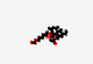 CCCC(C)CO.CCCCCCO.CCCCCCOC(C)=O.CCCCCCOC=O